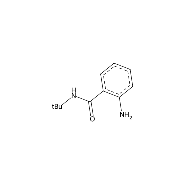 CC(C)(C)NC(=O)c1ccccc1N